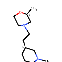 C[C@H]1CN(CC[C@@H]2CCCN(C)C2)CCO1